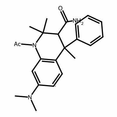 CC(=O)N1c2cc(N(C)C)[c]cc2C(C)(c2ccccc2)C(C(N)=O)C1(C)C